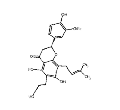 COc1cc([C@@H]2CC(=O)c3c(O)c(CCO)c(O)c(CC=C(C)C)c3O2)ccc1O